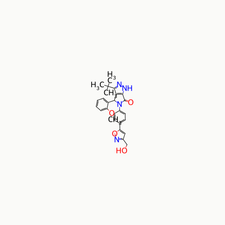 COc1ccccc1C1c2c(C(C)(C)C)n[nH]c2C(=O)N1c1ccc(-c2cc(CO)no2)cc1